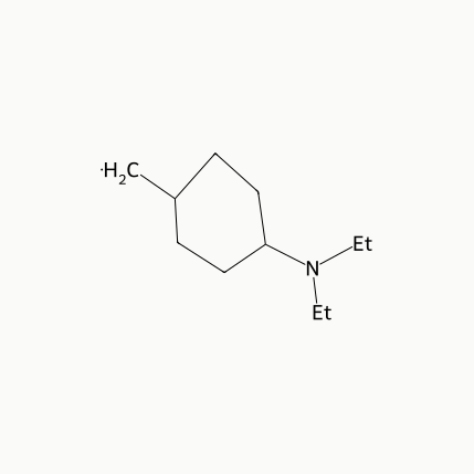 [CH2]C1CCC(N(CC)CC)CC1